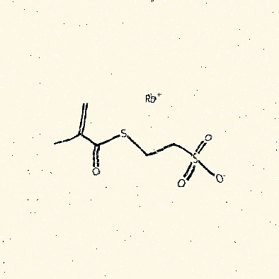 C=C(C)C(=O)SCCS(=O)(=O)[O-].[Rb+]